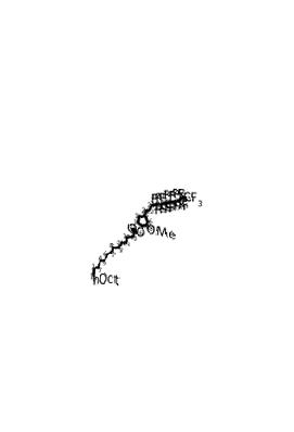 CCCCCCCC/C=C\CCCCCCCCCCCC(=O)Oc1ccc(CCCC(F)(F)C(F)(F)C(F)(F)C(F)(F)C(F)(F)C(F)(F)C(F)(F)C(F)(F)F)cc1OC